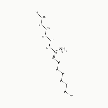 CCCCCCC/C=C(\N)CCCCCCC